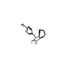 O=c1[nH]c2ccccc2n1-c1ccc(C2CC2)nc1